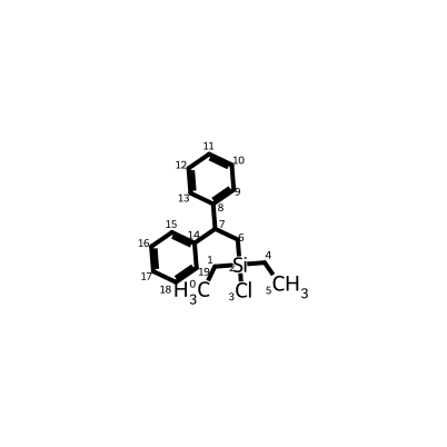 CC[Si](Cl)(CC)CC(c1ccccc1)c1ccccc1